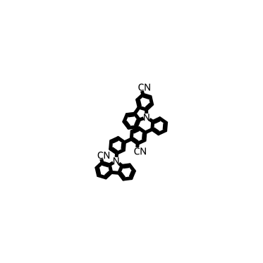 N#Cc1ccc2c(c1)c1ccccc1n2-c1ccccc1-c1ccc(-c2cccc(-n3c4ccccc4c4cccc(C#N)c43)c2)c(C#N)c1